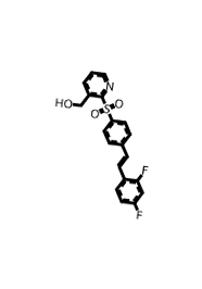 O=S(=O)(c1ccc(C=Cc2ccc(F)cc2F)cc1)c1ncccc1CO